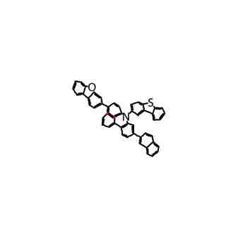 c1ccc(-c2ccc(-c3ccc4ccccc4c3)cc2N(c2ccc(-c3ccc4c(c3)oc3ccccc34)cc2)c2ccc3sc4ccccc4c3c2)cc1